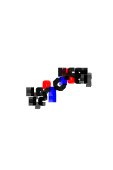 CCC(C)C(=O)NC1CCN(C(=O)OC(C)(C)C)CC1